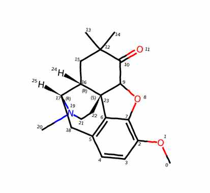 COc1ccc2c3c1OC1C(=O)C(C)(C)C[C@H]4[C@@H](C2)N(C)CC[C@]314